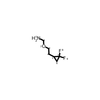 NCOCCC1CC1(F)F